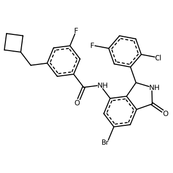 O=C(Nc1cc(Br)cc2c1C(c1cc(F)ccc1Cl)NC2=O)c1cc(F)cc(CC2CCC2)c1